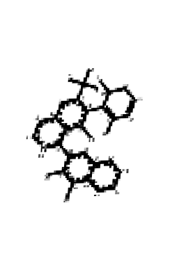 CC1=C(c2c(C(C)(C)C)cc3ccnc(-c4cc5ccccc5c(C)c4C)c3c2C)C(C)CC=C1